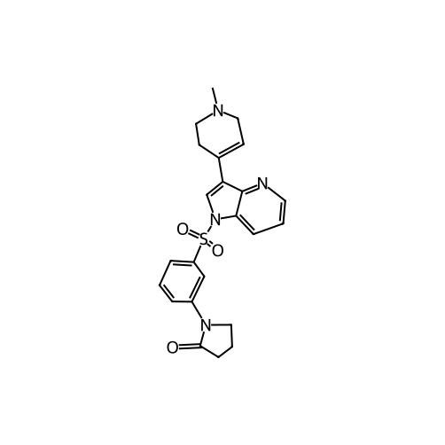 CN1CC=C(c2cn(S(=O)(=O)c3cccc(N4CCCC4=O)c3)c3cccnc23)CC1